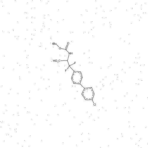 CC(C)(C)OC(=O)NC(C(=O)O)C(F)(F)c1ccc(-c2ccc(Cl)cc2)cc1